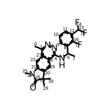 Cc1nnc(NC(C)c2cccc(C(F)F)c2F)c2cc3c(cc12)N(C)C(=O)C3(C)C